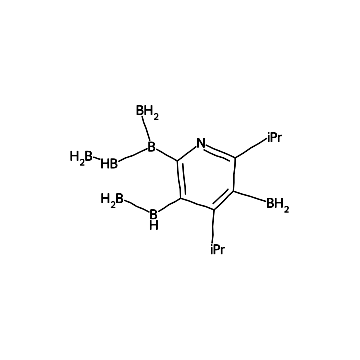 BBB(B)c1nc(C(C)C)c(B)c(C(C)C)c1BB